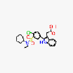 CCN(C1CCCCC1)S(=O)(=O)c1cc(-c2[nH]c3ccccc3c2CC(=O)O)ccc1Cl